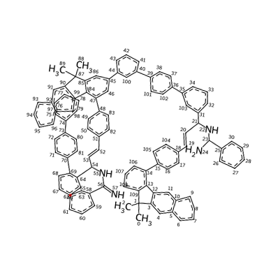 CC1(C)c2cc3ccccc3cc2-c2c(-c3ccc(/C=C/C(NC(N)c4ccccc4)c4cccc(-c5ccc(-c6cccc(-c7cc(-c8ccc(/C=C/C(NC(=N)c9ccccc9)c9ccccc9-c9ccc(-c%10ccccc%10)cc9)cc8)c8c(c7)C(C)(C)c7cc9ccccc9cc7-8)c6)cc5)c4)cc3)cccc21